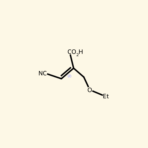 CCOC/C(=C/C#N)C(=O)O